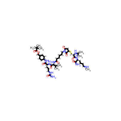 CNCCCC[C@H](NC(=O)[C@H](CSC1CC(=O)N(CCCCCC(=O)N[C@H](C(=O)N[C@@H](CCCNC(N)=O)C(=O)NC2CCC(COC(=O)C(C)(C)C)CC2)C(C)C)C1=O)NC(C)C)C(N)=O